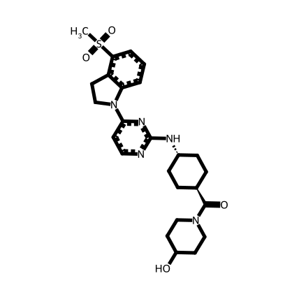 CS(=O)(=O)c1cccc2c1CCN2c1ccnc(N[C@H]2CC[C@H](C(=O)N3CCC(O)CC3)CC2)n1